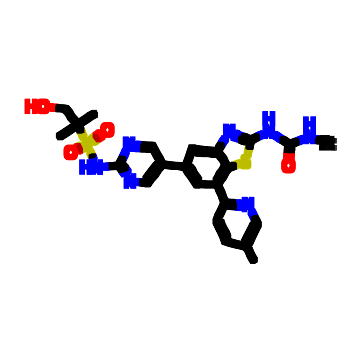 CCNC(=O)Nc1nc2cc(-c3cnc(NS(=O)(=O)C(C)(C)CO)nc3)cc(-c3ccc(C)cn3)c2s1